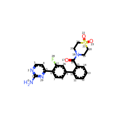 Nc1nccc(-c2ccc(-c3ccccc3C(=O)N3CCS(=O)(=O)CC3)cc2F)n1